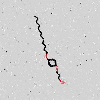 CCCCCCCCCCCCOc1ccc(OCCCO)cc1